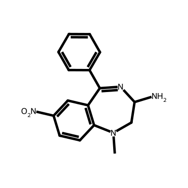 CN1CC(N)N=C(c2ccccc2)c2cc([N+](=O)[O-])ccc21